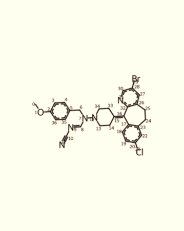 COc1ccc(CN(C=NC#N)N2CCC(=C3c4ccc(Cl)cc4CCc4cc(Br)cnc43)CC2)cc1